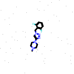 CN1CCN(c2cn(Cc3c(F)cccc3F)nn2)CC1